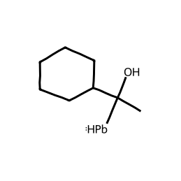 C[C](O)([PbH])C1CCCCC1